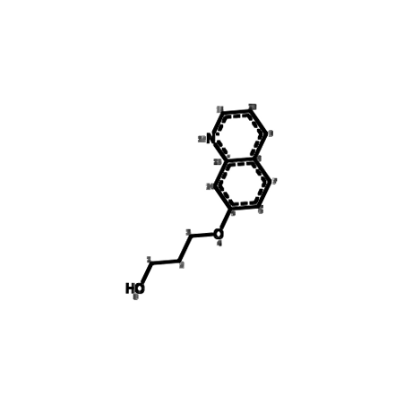 OCCCOc1[c]cc2cccnc2c1